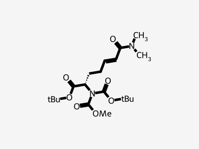 COC(=O)N(C(=O)OC(C)(C)C)[C@@H](CC/C=C/C(=O)N(C)C)C(=O)OC(C)(C)C